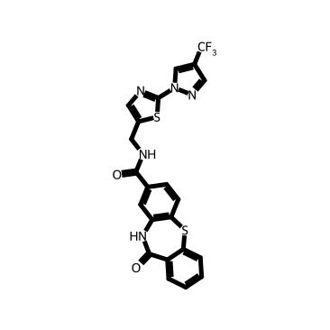 O=C(NCc1cnc(-n2cc(C(F)(F)F)cn2)s1)c1ccc2c(c1)NC(=O)c1ccccc1S2